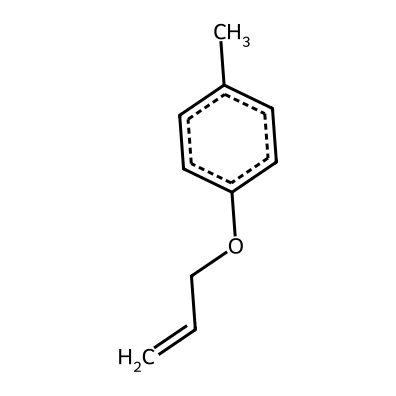 C=CCOc1ccc(C)cc1